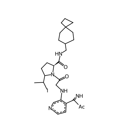 CC(=O)C(=N)c1ccncc1NCC(=O)N1C(C(C)I)CC[C@H]1C(=O)NCC1CCC2(CCC2)CC1